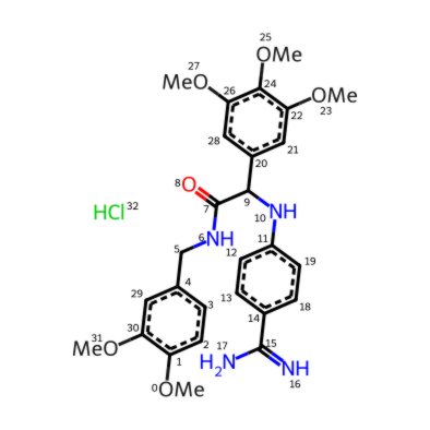 COc1ccc(CNC(=O)C(Nc2ccc(C(=N)N)cc2)c2cc(OC)c(OC)c(OC)c2)cc1OC.Cl